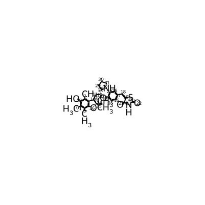 Cc1c(C)c2c(c(C)c1O)C(CC(Oc1ccc(C=C3SC(=O)NC3=O)cc1)[C@@H]1CCCN1)C(C)(C)O2